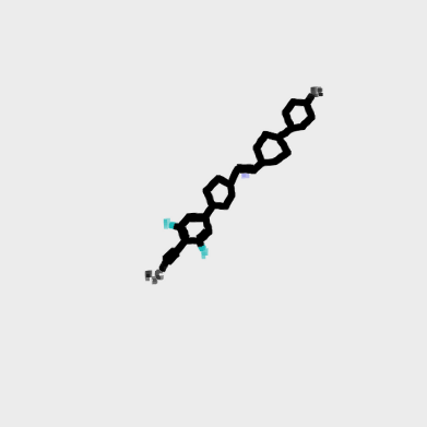 CCC1CCC(C2CCC(/C=C/C3CCC(c4cc(F)c(C#CC(F)(F)F)c(F)c4)CC3)CC2)CC1